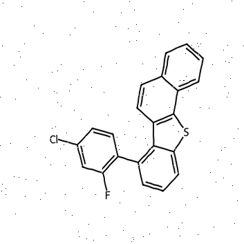 Fc1cc(Cl)ccc1-c1cccc2sc3c4ccccc4ccc3c12